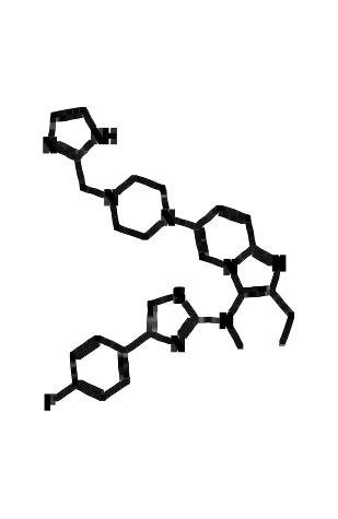 CCc1nc2ccc(N3CCN(Cc4ncc[nH]4)CC3)cn2c1N(C)c1nc(-c2ccc(F)cc2)cs1